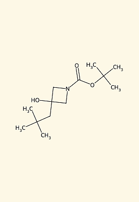 CC(C)(C)CC1(O)CN(C(=O)OC(C)(C)C)C1